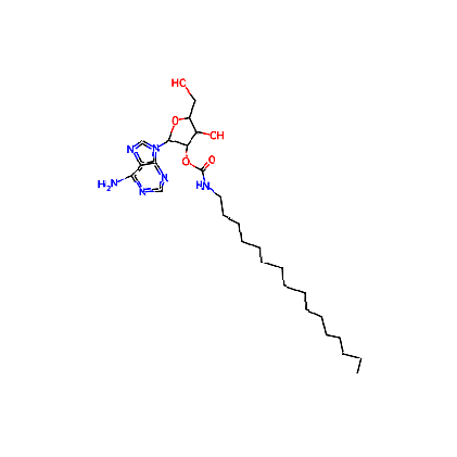 CCCCCCCCCCCCCCCCNC(=O)OC1C(O)C(CO)OC1n1cnc2c(N)ncnc21